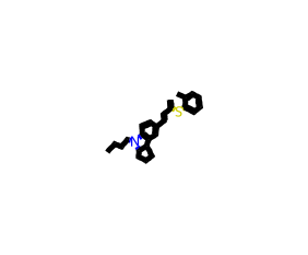 C=C(/C=C/c1ccc2c(c1)C1CCCC1N2CCCC)Sc1ccccc1C